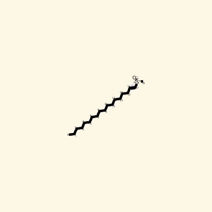 CCCCCCCCCCCCCCCC/C=C/[S+](C)[O-]